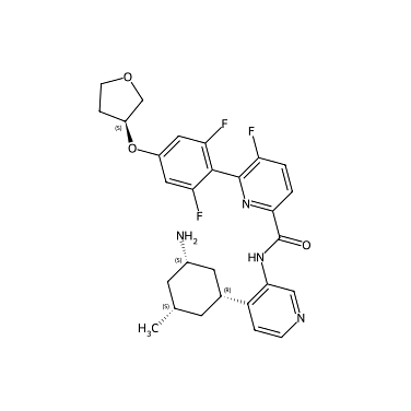 C[C@@H]1C[C@H](N)C[C@H](c2ccncc2NC(=O)c2ccc(F)c(-c3c(F)cc(O[C@H]4CCOC4)cc3F)n2)C1